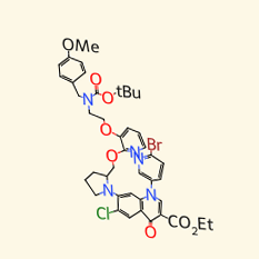 CCOC(=O)c1cn(-c2ccc(Br)nc2)c2cc(N3CCCC3COc3ncccc3OCCN(Cc3ccc(OC)cc3)C(=O)OC(C)(C)C)c(Cl)cc2c1=O